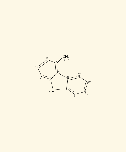 Cc1cccc2oc3cncnc3c12